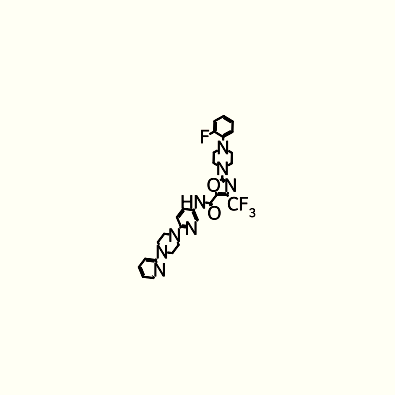 O=C(Nc1ccc(N2CCN(c3ccccn3)CC2)nc1)c1oc(N2CCN(c3ccccc3F)CC2)nc1C(F)(F)F